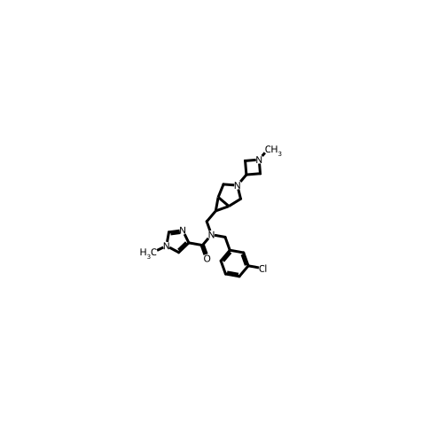 CN1CC(N2CC3C(CN(Cc4cccc(Cl)c4)C(=O)c4cn(C)cn4)C3C2)C1